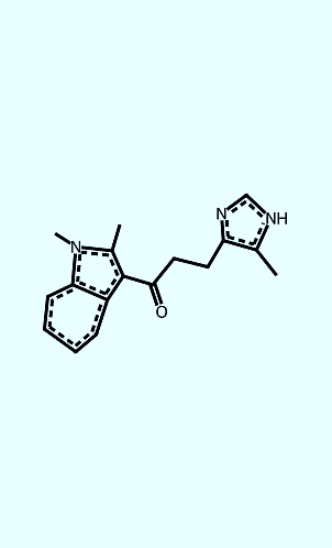 Cc1[nH]cnc1CCC(=O)c1c(C)n(C)c2ccccc12